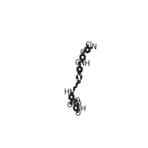 N#Cc1ccc(OC2CCC(NC(=O)c3ccc(N4CCN(CCCCCNc5ccc6c(c5)C(=O)N(C5CCC(=O)NC5=O)C6=O)CC4)cc3)CC2)cc1Cl